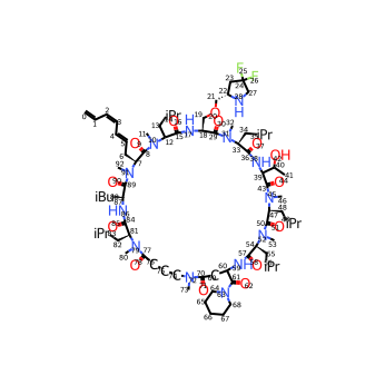 C=C/C=C\C=C\C[C@H]1C(=O)N(C)C(CC(C)C)C(=O)N[C@@H](COC[C@@H]2CC(F)(F)CN2)C(=O)N(C)[C@@H](CC(C)C)C(=O)NC(C(C)O)C(=O)N(C)[C@@H](CC(C)C)C(=O)N(C)[C@@H](CC(C)C)C(=O)NC(C(=O)N2CCCCC2)CC(=O)N(C)CCCC(=O)N(C)[C@@H](CC(C)C)C(=O)N[C@@H](C(C)CC)C(=O)N1C